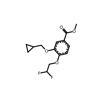 COC(=O)c1ccc(OCC(F)F)c(OCC2CC2)c1